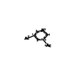 CC(=O)c1cncc(C(C)=O)c1